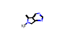 BN1Cc2ncncc2C1=C